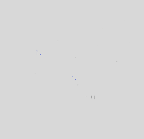 [Cu].c1csc(-c2cnc3ccccc3n2)c1